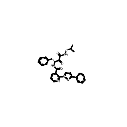 CC(C)ONC(=O)C(=O)[C@@H](Cc1ccccc1)NC(=O)c1cccnc1-n1ccc(-c2ccccc2)n1